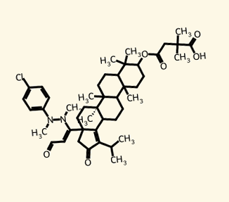 CC(C)C1=C2C3CCC4C5(C)CCC(OC(=O)CC(C)(C)C(=O)O)C(C)(C)C5CCC4(C)[C@]3(C)CCC2(/C(=C/C=O)N(C)N(C)c2ccc(Cl)cc2)CC1=O